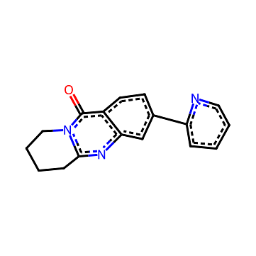 O=c1c2ccc(-c3ccccn3)cc2nc2n1CCCC2